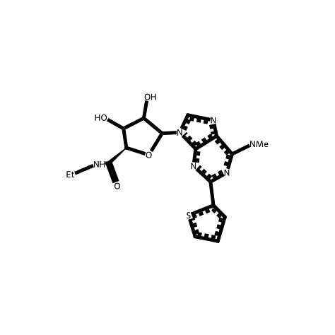 CCNC(=O)[C@@H]1OC(n2cnc3c(NC)nc(-c4cccs4)nc32)C(O)C1O